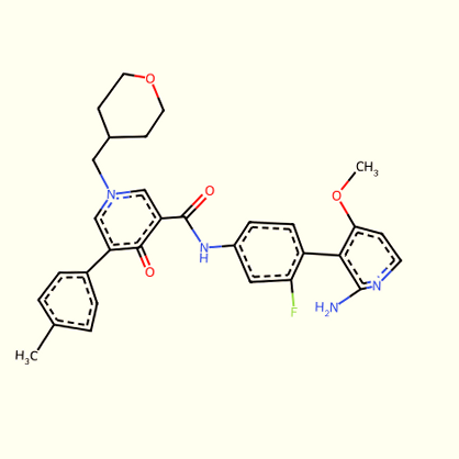 COc1ccnc(N)c1-c1ccc(NC(=O)c2cn(CC3CCOCC3)cc(-c3ccc(C)cc3)c2=O)cc1F